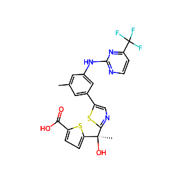 Cc1cc(Nc2nccc(C(F)(F)F)n2)cc(-c2cnc([C@@](C)(O)c3ccc(C(=O)O)s3)s2)c1